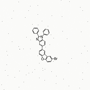 Brc1ccc2oc3ccc(-c4ccc5c(c4)nc(-c4ccccc4)n5-c4ccccc4)cc3c2c1